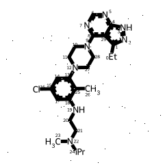 CCc1n[nH]c2ncnc(N3CCN(c4cc(Cl)cc(NCCN(C)C(C)C)c4C)CC3)c12